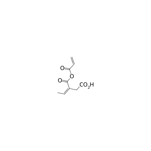 C=CC(=O)OC(=O)C(=CC)CC(=O)O